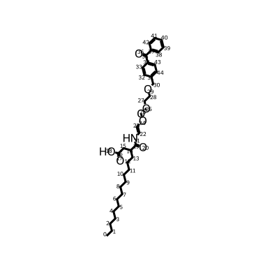 CCCCCCCCCCCCCCC(CC(=O)O)C(=O)N/C=C/OOOCCOCc1ccc(C(=O)c2ccccc2)cc1